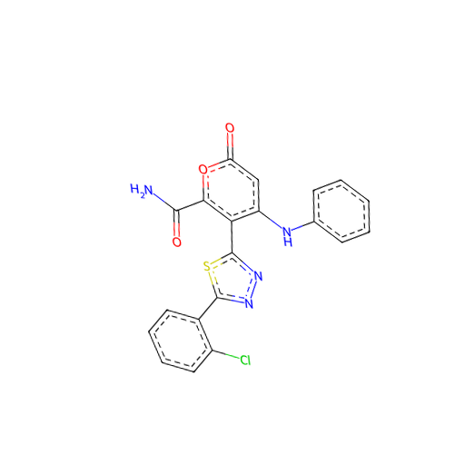 NC(=O)c1oc(=O)cc(Nc2ccccc2)c1-c1nnc(-c2ccccc2Cl)s1